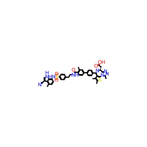 Cc1cc(-c2ccc(C3=N[C@@H](CC(=O)O)c4nnc(C)n4-c4sc(C)c(C)c43)cc2)ccc1C(=O)NCCc1ccc(S(=O)(=O)Nc2ccc(C)c3c(C#N)c[nH]c23)cc1